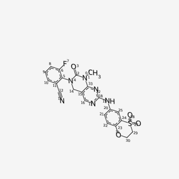 CN1C(=O)N(c2c(F)cccc2C#N)Cc2cnc(Nc3ccc4c(c3)S(=O)(=O)CCO4)nc21